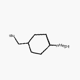 CCCCC[CH]CC1CCC(CC(C)(C)C)CC1